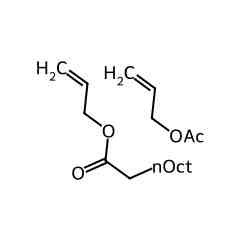 C=CCOC(=O)CCCCCCCCC.C=CCOC(C)=O